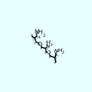 CC(CN)COCC(N)COCC(C)CN